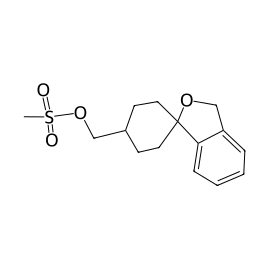 CS(=O)(=O)OCC1CCC2(CC1)OCc1ccccc12